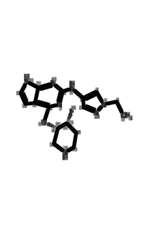 CCn1cc(Nc2nc(O[C@H]3CNCC[C@H]3F)c3cc[nH]c3n2)cn1